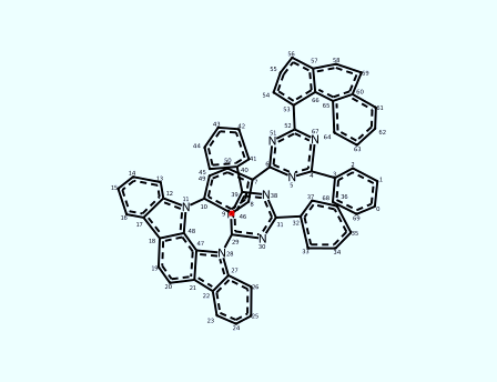 c1ccc(-c2nc(-c3ccc(-n4c5ccccc5c5ccc6c7ccccc7n(-c7nc(-c8ccccc8)nc(-c8ccccc8)n7)c6c54)cc3)nc(-c3cccc4ccc5ccccc5c34)n2)cc1